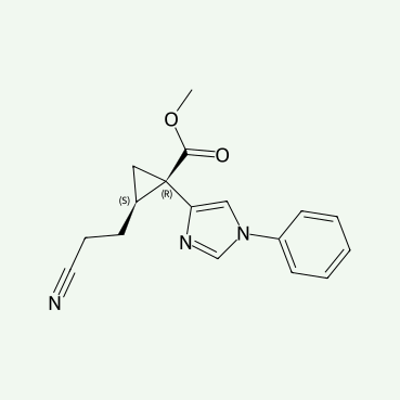 COC(=O)[C@]1(c2cn(-c3ccccc3)cn2)C[C@@H]1CCC#N